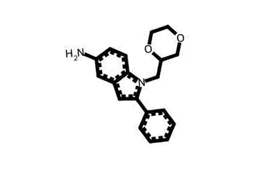 Nc1ccc2c(c1)cc(-c1ccccc1)n2CC1COCCO1